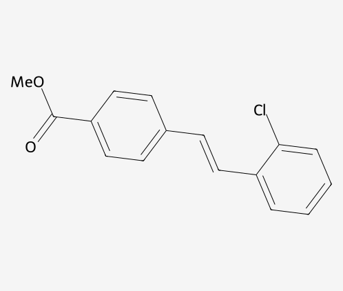 COC(=O)c1ccc(C=Cc2ccccc2Cl)cc1